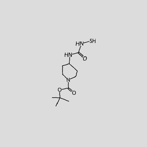 CC(C)(C)OC(=O)N1CCC(NC(=O)NS)CC1